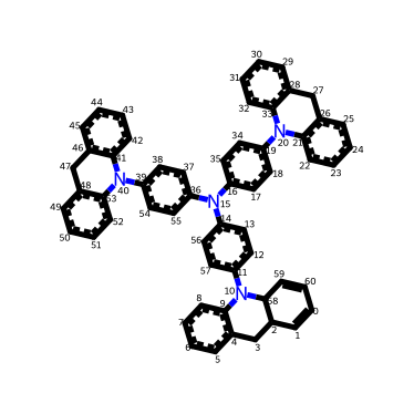 C1=CC2Cc3ccccc3N(c3ccc(N(c4ccc(N5c6ccccc6Cc6ccccc65)cc4)c4ccc(N5c6ccccc6Cc6ccccc65)cc4)cc3)C2C=C1